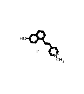 C[n+]1ccc(C=Cc2cccc3cc(O)ccc23)cc1.[I-]